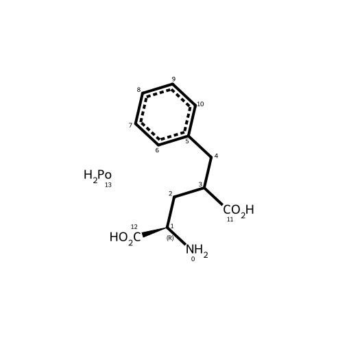 N[C@H](CC(Cc1ccccc1)C(=O)O)C(=O)O.[PoH2]